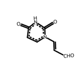 O=CC=Cn1ccc(=O)[nH]c1=O